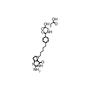 Nc1nc2ccn(CCCCCc3ccc(C(=O)N[C@@H](CCC(=O)O)C(=O)O)cc3)c2c(=O)[nH]1